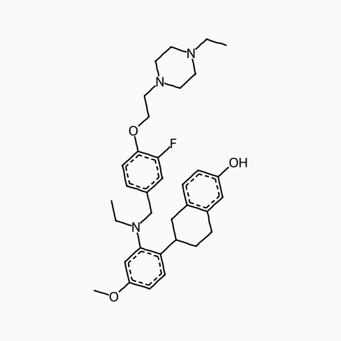 CCN1CCN(CCOc2ccc(CN(CC)c3cc(OC)ccc3C3CCc4cc(O)ccc4C3)cc2F)CC1